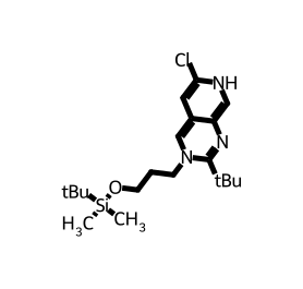 CC(C)(C)C1=NC2=CNC(Cl)=CC2=CN1CCCO[Si](C)(C)C(C)(C)C